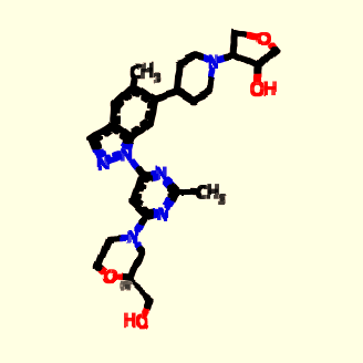 Cc1nc(N2CCO[C@H](CO)C2)cc(-n2ncc3cc(C)c(C4CCN(C5COCC5O)CC4)cc32)n1